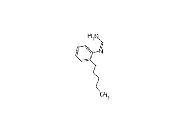 CCCCCc1ccccc1/N=C\N